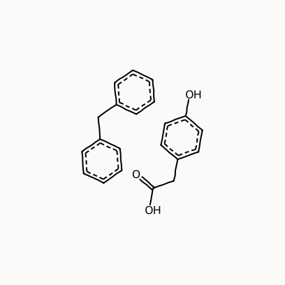 O=C(O)Cc1ccc(O)cc1.c1ccc(Cc2ccccc2)cc1